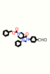 O=Cc1ccc(N2CN(c3ccccc3)C3(CCN(C(=O)OCc4ccccc4)CC3)C2=O)cc1